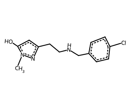 Cn1nc(CCNCc2ccc(Cl)cc2)cc1O